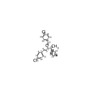 CC(C(/C=C/c1ccc(Cl)cc1)OCc1ccc(Cl)cc1)n1cncn1